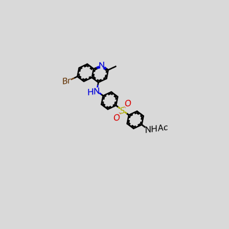 CC(=O)Nc1ccc(S(=O)(=O)c2ccc(Nc3cc(C)nc4ccc(Br)cc34)cc2)cc1